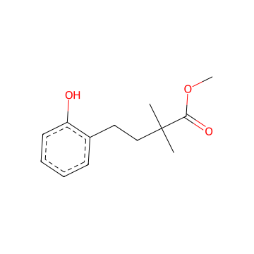 COC(=O)C(C)(C)CCc1ccccc1O